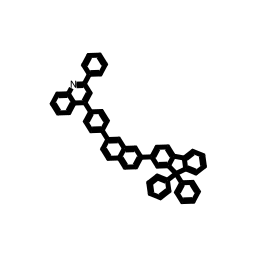 C1=C=C(C2(c3ccccc3)c3ccccc3-c3ccc(-c4ccc5ccc(-c6ccc(-c7cc(-c8ccccc8)nc8ccccc78)cc6)cc5c4)cc32)C=CC=1